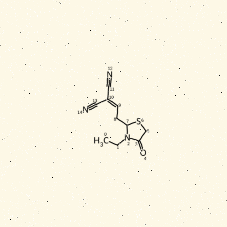 CCN1C(=O)CSC1CC=C(C#N)C#N